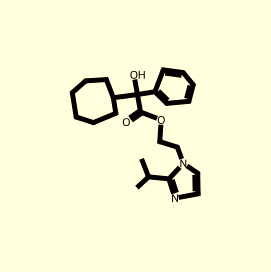 CC(C)c1nccn1CCOC(=O)C(O)(c1ccccc1)C1CCCCCC1